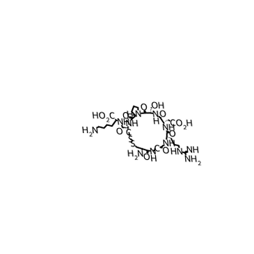 N=C(N)NCCC[C@@H]1NC(=O)CNC(=O)[C@@H](N)CSSC[C@@H](C(=O)N[C@@H](CCCCN)C(=O)O)NC(=O)[C@@H]2CCCN2C(=O)[C@H](CO)NC(=O)[C@H](CC(=O)O)NC1=O